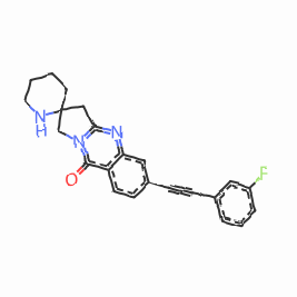 O=c1c2ccc(C#Cc3cccc(F)c3)cc2nc2n1CC1(CCCCN1)C2